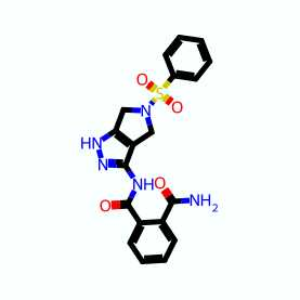 NC(=O)c1ccccc1C(=O)Nc1n[nH]c2c1CN(S(=O)(=O)c1ccccc1)C2